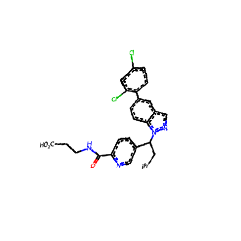 CC(C)CC(c1ccc(C(=O)NCCC(=O)O)nc1)n1ncc2cc(-c3ccc(Cl)cc3Cl)ccc21